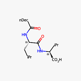 CCCCCCCCCCC(=O)N[C@@H](CC(C)C)C(=O)N[C@H](C(=O)O)C(C)C